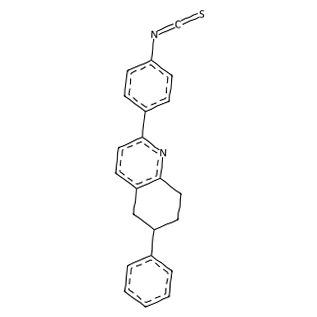 S=C=Nc1ccc(-c2ccc3c(n2)CCC(c2ccccc2)C3)cc1